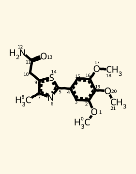 COc1cc(-c2nc(C)c(CC(N)=O)s2)cc(OC)c1OC